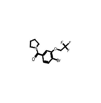 O=C(c1ccc(Br)c(OCC(F)(F)F)c1)N1CCCC1